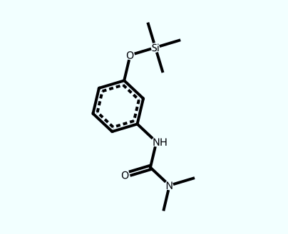 CN(C)C(=O)Nc1cccc(O[Si](C)(C)C)c1